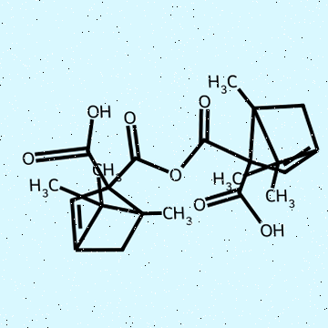 CC1(C)C2=CC(C(=O)O)(C(=O)OC(=O)C3(C(=O)O)C=C4CC3(C)C4(C)C)C1(C)C2